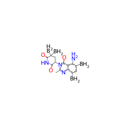 Bc1cc(B)c2nc(C)n(C3CC(B)(B)C(=O)NC3=O)c(=O)c2c1N